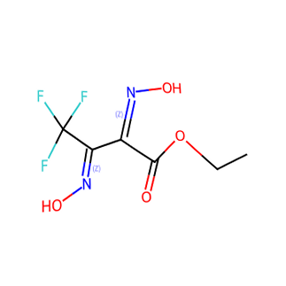 CCOC(=O)C(=N\O)/C(=N/O)C(F)(F)F